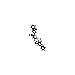 CCC(/C=C1/Nc2cc3c(cc2O1)oc1ccccc13)=C\c1nc2cc3c(cc2o1)oc1ccccc13